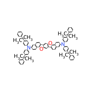 CC(C)(c1ccccc1)c1ccc(N(c2ccc(C(C)(C)c3ccccc3)cc2)c2ccc3c(ccc4c5cc6oc7c8ccc(N(c9ccc(C(C)(C)c%10ccccc%10)cc9)c9ccc(C(C)(C)c%10ccccc%10)cc9)cc8ccc7c6cc5oc34)c2)cc1